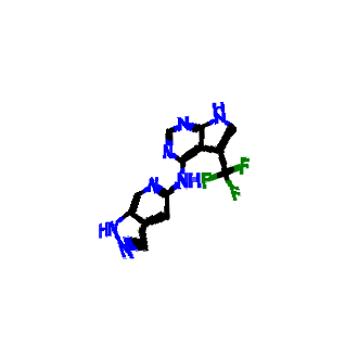 FC(F)(F)c1c[nH]c2ncnc(Nc3cc4cn[nH]c4cn3)c12